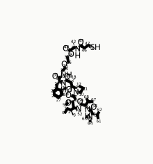 CC[C@H](C)C([C@@H](CC(=O)N1CCC[C@H]1[C@H](OC)[C@@H](C)C(=O)N[C@@H](Cc1ccccc1)C(=O)NCCOCCOC(=O)[C@H](C)NC(=O)CCS)OC)N(C)C(=O)[C@@H](NC(=O)[C@H](C(C)C)N(C)C)C(C)C